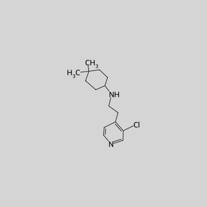 CC1(C)CCC(NCCc2ccncc2Cl)CC1